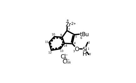 C[SiH](C)OC1=C(C(C)(C)C)[CH]([Zr+2])c2ccccc21.[Cl-].[Cl-]